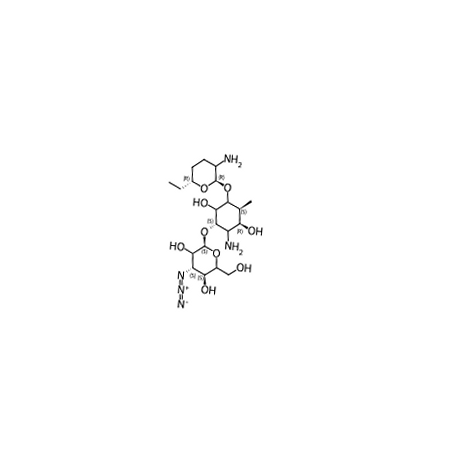 CC[C@@H]1CCC(N)[C@@H](OC2C(O)[C@@H](O[C@H]3OC(CO)[C@@H](O)[C@H](N=[N+]=[N-])C3O)C(N)[C@H](O)[C@@H]2C)O1